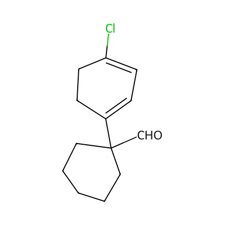 O=CC1(C2=CC=C(Cl)CC2)CCCCC1